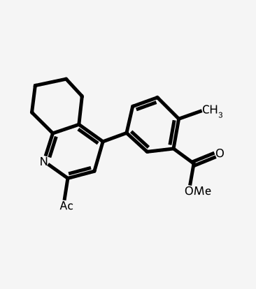 COC(=O)c1cc(-c2cc(C(C)=O)nc3c2CCCC3)ccc1C